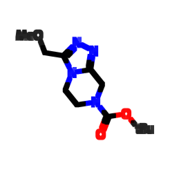 COCc1nnc2n1CCN(C(=O)OC(C)(C)C)C2